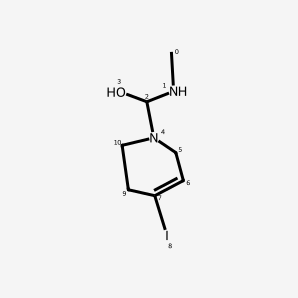 CNC(O)N1CC=C(I)CC1